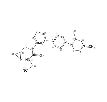 CN1CCN(c2ccc(-c3cccc(C(CC4CC4)C(=O)NCC#N)c3)cc2)C(I)C1